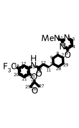 CNc1nccc(O[C@H]2CC[C@H](CCC(=O)Nc3cc(C(F)(F)F)ccc3OC3COC3)CC2)n1